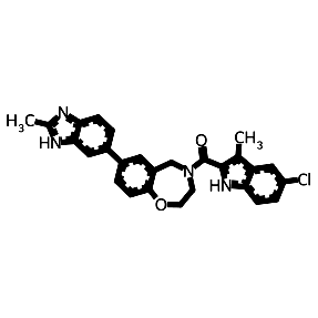 Cc1nc2ccc(-c3ccc4c(c3)CN(C(=O)c3[nH]c5ccc(Cl)cc5c3C)CCO4)cc2[nH]1